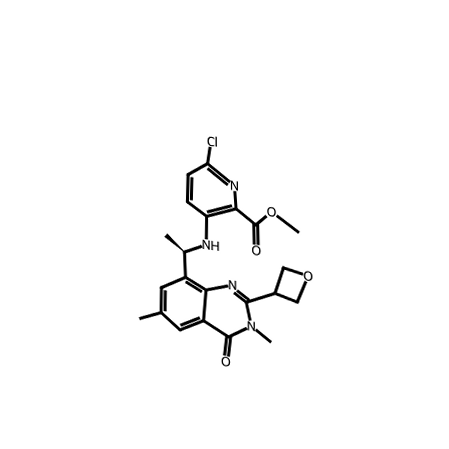 COC(=O)c1nc(Cl)ccc1N[C@H](C)c1cc(C)cc2c(=O)n(C)c(C3COC3)nc12